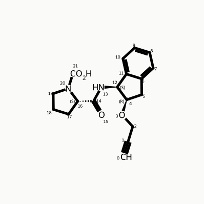 C#CCO[C@@H]1Cc2ccccc2[C@@H]1NC(=O)[C@@H]1CCCN1C(=O)O